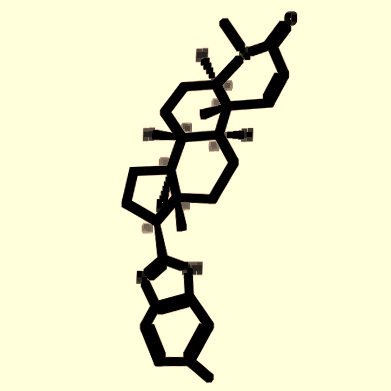 Cc1ccc2nc([C@H]3CC[C@H]4[C@@H]5CC[C@H]6N(C)C(=O)C=C[C@]6(C)[C@H]5CC[C@]34C)[nH]c2c1